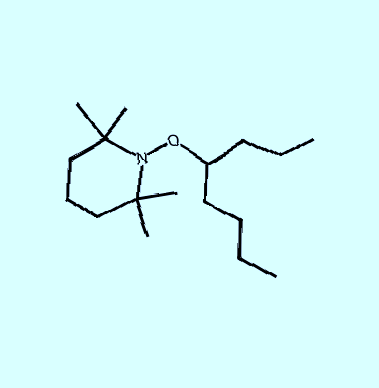 CCCCC(CCC)ON1C(C)(C)CCCC1(C)C